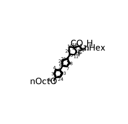 CCCCCCCCOc1ccc(-c2ccc(C3CCC(C[C@H](F)CCCCCC)(C(=O)O)CC3)cc2)cc1